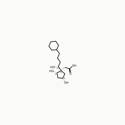 O=C(O)C[C@]1([C@H](O)CCCC2CCCCC2)C[C@H](O)C[C@@H]1O